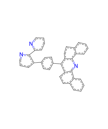 c1ccc(-c2ncccc2-c2ccc(-c3c4ccc5ccccc5c4nc4c3ccc3ccccc34)cc2)nc1